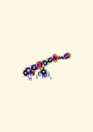 Nc1c(Cl)cc(C[C@@H](OC(=O)N2CCC(N3CCc4ccccc4NC3=O)CC2)C(=O)N2CCC(C3CCN(C(=O)C(=O)OCCCN4CCOCC4)CC3)CC2)cc1C(F)(F)F